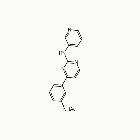 CC(=O)Nc1cccc(-c2ccnc(Nc3cccnc3)n2)c1